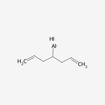 C=CC[CH]([Al])CC=C.I